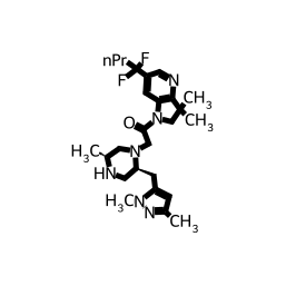 CCCC(F)(F)c1cnc2c(c1)N(C(=O)CN1C[C@@H](C)NC[C@@H]1Cc1cc(C)nn1C)CC2(C)C